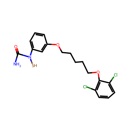 NC(=O)N(S)c1cccc(OCCCCCOc2c(Cl)cccc2Cl)c1